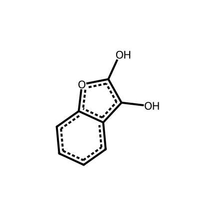 Oc1oc2ccccc2c1O